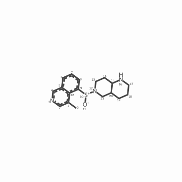 Cc1cncc2cccc([S+]([O-])N3CCC4NCCCC4C3)c12